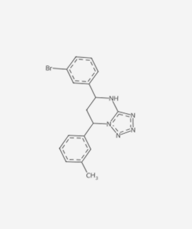 Cc1cccc(C2CC(c3cccc(Br)c3)Nc3nnnn32)c1